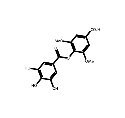 COc1cc(C(=O)O)cc(OC)c1OC(=O)c1cc(O)c(O)c(O)c1